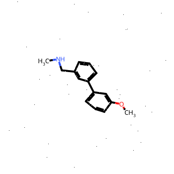 CNCc1cccc(-c2cccc(OC)c2)c1